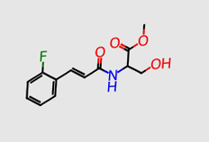 COC(=O)C(CO)NC(=O)C=Cc1ccccc1F